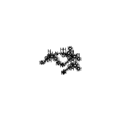 NCCCNC(=O)Nc1n[nH]c2cc(Cl)c(-c3ccccc3)cc12.O=C(NCCCCn1cnc(-c2cccnc2)c1)Nc1n[nH]c2cc(Cl)c(-c3ccccc3)cc12.O=C(NCCCn1ccnc1)Nc1n[nH]c2c(F)c(F)c(-c3ccccc3)cc12.O=C(NCCN1CCCC1)Nc1n[nH]c2cc(Cl)c(-c3ccccc3)cc12